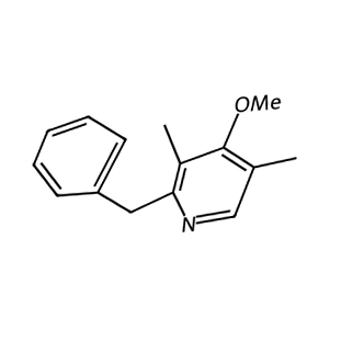 COc1c(C)cnc(Cc2ccccc2)c1C